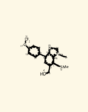 CSc1c(CO)cc(-c2ccc(OC(F)(F)F)cc2)c2ncn(C)c12